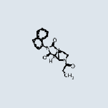 CCC(=O)N1CC2CC1[C@H]1C(=O)N(c3cccc4ccccc34)C(=O)N21